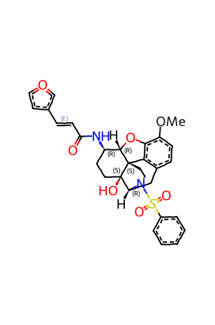 COc1ccc2c3c1O[C@H]1[C@H](NC(=O)/C=C/c4ccoc4)CC[C@@]4(O)[C@@H](C2)N(S(=O)(=O)c2ccccc2)CC[C@]314